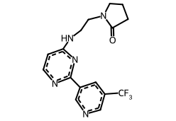 O=C1CCCN1CCNc1ccnc(-c2cncc(C(F)(F)F)c2)n1